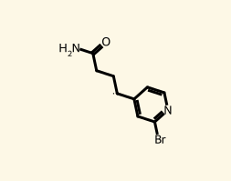 NC(=O)CC[CH]c1ccnc(Br)c1